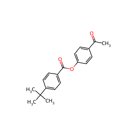 CC(=O)c1ccc(OC(=O)c2ccc(C(C)(C)C)cc2)cc1